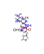 CCc1nc(NNC(=O)[C@H](CC2CCCC2)CN(O)C=O)c(F)c(N[C@H](C)C(=O)N(C)C)n1